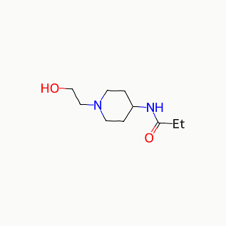 CCC(=O)NC1CCN(CCO)CC1